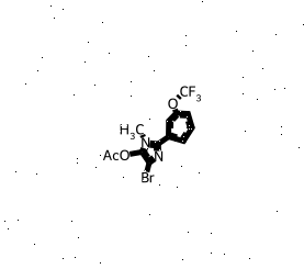 CC(=O)Oc1c(Br)nc(-c2cccc(OC(F)(F)F)c2)n1C